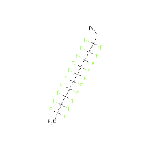 CC(C)CC(F)(F)C(F)(F)C(F)(F)C(F)(F)C(F)(F)C(F)(F)C(F)(F)C(F)(F)C(F)(F)C(F)(F)C(F)(F)F